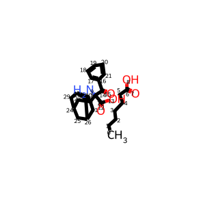 CCCCCCC(=O)O.NC(C(=O)O)(C(=O)c1ccccc1)C12CC3CC(CC(C3)C1)C2